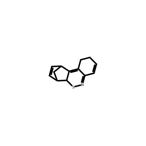 C1=CC2=NSC3C(=C2CC1)C1C=CC3C1